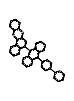 c1ccc(-c2ccc(-c3c4ccccc4c(-c4cc5nc6ccccc6nc5c5ccccc45)c4ccccc34)cc2)nc1